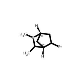 CCC1C[C@@H]2C[C@H]1C(C)N2C